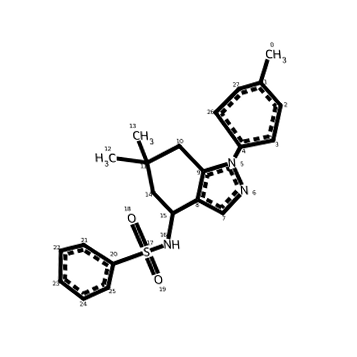 Cc1ccc(-n2ncc3c2CC(C)(C)CC3NS(=O)(=O)c2ccccc2)cc1